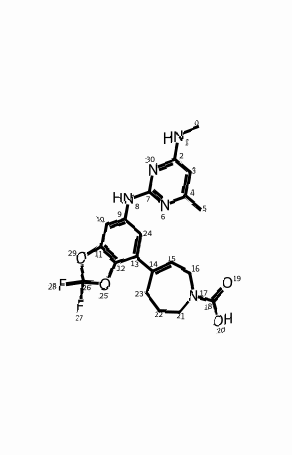 CNc1cc(C)nc(Nc2cc3c(c(C4=CCN(C(=O)O)CCC4)c2)OC(F)(F)O3)n1